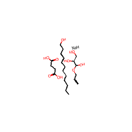 C=CCOC(O)C(O)CO.CCCCCCCCCCCCO.O=C(O)CCC(=O)O.[NaH]